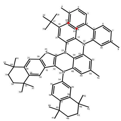 Cc1ccc(-c2ccc(C)cc2N2c3ccc(C(C)(C)C)cc3B3c4sc5cc6c(cc5c4N(c4ccc5c(c4)C(C)(C)CCC5(C)C)c4cc(C)cc2c43)C(C)(C)CCC6(C)C)cc1